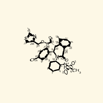 CS(=O)(=O)N[C@H]1CCCC[C@@H]1N1C(=O)c2ccccc2[C@@H](C(=O)NOCc2cscn2)[C@@H]1c1ccc(Cl)cc1